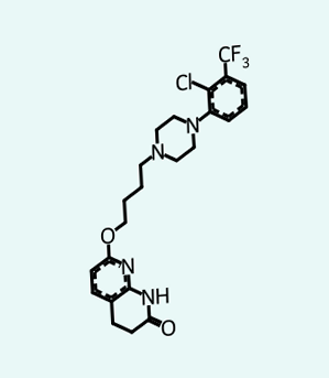 O=C1CCc2ccc(OCCCCN3CCN(c4cccc(C(F)(F)F)c4Cl)CC3)nc2N1